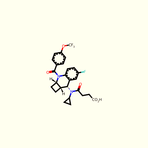 O=C(O)CCC(=O)N(C1CC1)[C@H]1c2cc(F)ccc2N(C(=O)c2ccc(OC(F)(F)F)cc2)[C@H]2CC[C@H]21